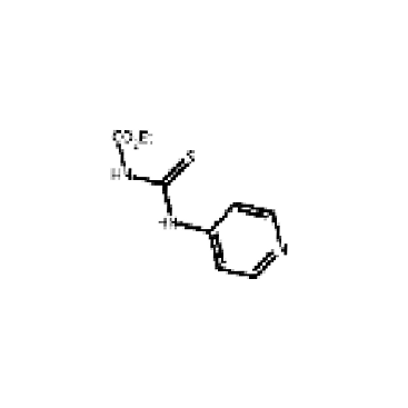 CCOC(=O)NC(=S)Nc1ccncc1